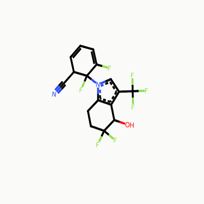 N#CC1C=CC=C(F)C1(F)n1cc(C(F)(F)F)c2c1CCC(F)(F)C2O